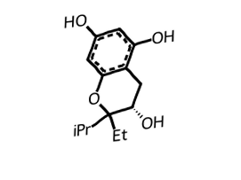 CCC1(C(C)C)Oc2cc(O)cc(O)c2C[C@@H]1O